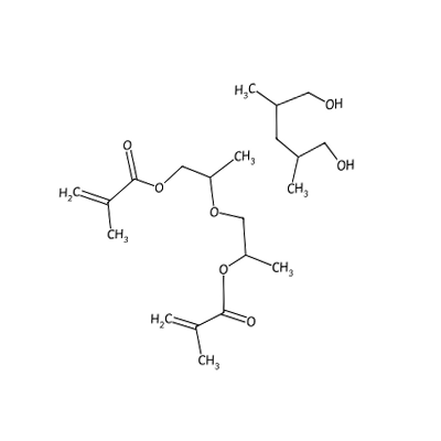 C=C(C)C(=O)OCC(C)OCC(C)OC(=O)C(=C)C.CC(CO)CC(C)CO